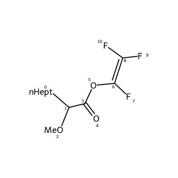 CCCCCCCC(OC)C(=O)OC(F)=C(F)F